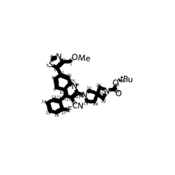 COCc1ncsc1-c1ccc2c(-c3ccccc3F)c(C#N)c(N3CCC4(CN(C(=O)OC(C)(C)C)C4)C3)nc2c1